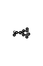 c1cc(-c2cccc3ccccc23)cc(N(c2ccc(-c3ccc4sc5ccccc5c4c3)cc2)c2cccc(-c3cc4ccccc4c4ccccc34)c2)c1